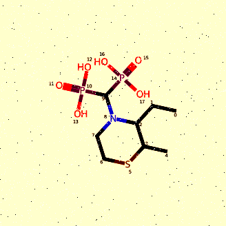 CCC1C(C)SCCN1C(P(=O)(O)O)P(=O)(O)O